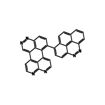 c1cc2ccc3c(-c4ccc5nncc6c7ccnc8nccc(c4c56)c87)ccc4nnc(c1)c2c43